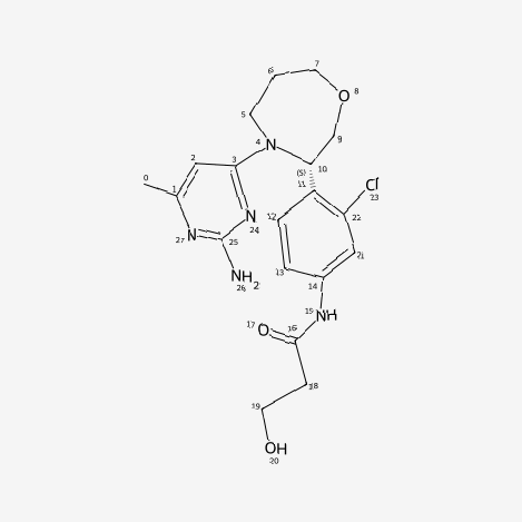 Cc1cc(N2CCCOC[C@@H]2c2ccc(NC(=O)CCO)cc2Cl)nc(N)n1